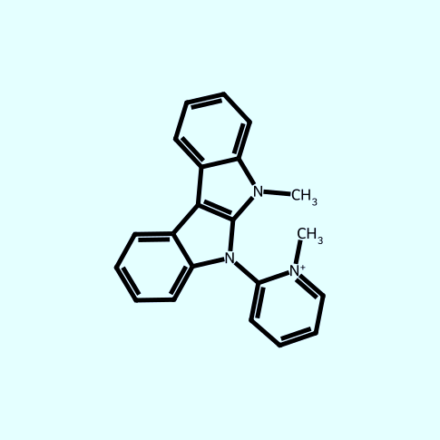 Cn1c2ccccc2c2c3ccccc3n(-c3cccc[n+]3C)c21